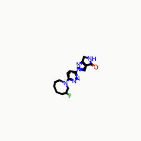 O=C1NCc2nn(-c3ccc(N4CCCCCC(F)C4)nn3)cc21